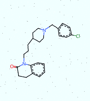 O=C1CCc2ccccc2N1CCCC1CCN(Cc2ccc(Cl)cc2)CC1